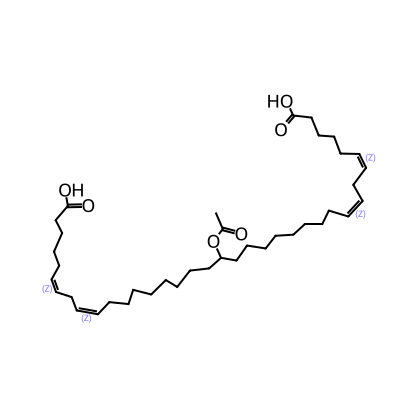 CC(=O)OC(CCCCCCCC/C=C\C/C=C\CCCCC(=O)O)CCCCCCCC/C=C\C/C=C\CCCCC(=O)O